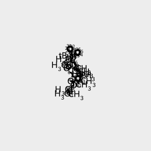 Cc1cc(/C=C/C[C@@H]2OC(C)(C)O[C@@H]2C(/C=C\C[C@H](C)O[Si](c2ccccc2)(c2ccccc2)C(C)(C)C)O[Si](C)(C)C(C)(C)C)c(C(=O)OCC[Si](C)(C)C)c(C)c1C